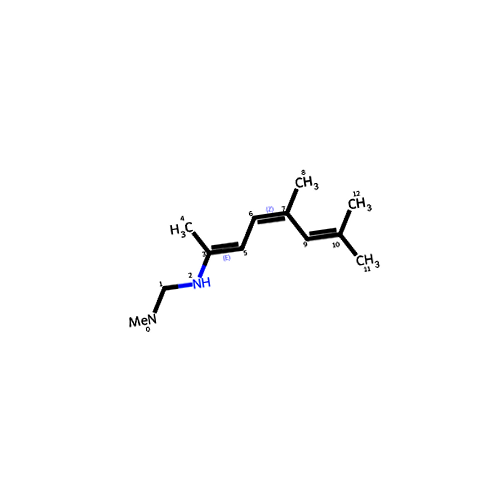 CNCN/C(C)=C/C=C(/C)C=C(C)C